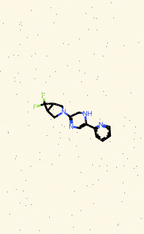 FC1(F)C2CN(C3=NC=C(c4ccccn4)NC3)CC21